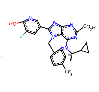 C[C@@H](Nc1nc(C(=O)O)nc2nc(-c3cnc(O)c(F)c3)n(Cc3ccc(C(F)(F)F)cc3)c12)C1CC1